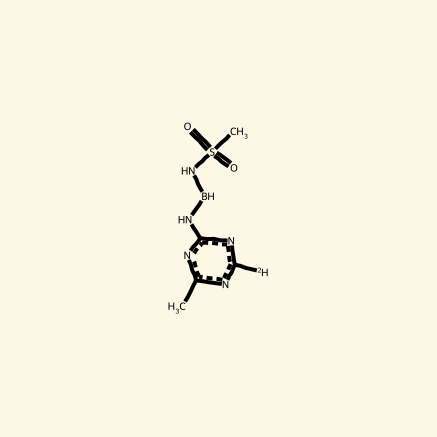 [2H]c1nc(C)nc(NBNS(C)(=O)=O)n1